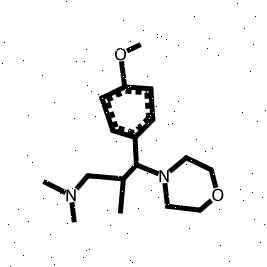 COc1ccc(C(C(C)CN(C)C)N2CCOCC2)cc1